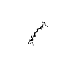 CC=COC=CC=CCCCC